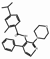 Cc1cc(C(C)C)ccc1C(=O)Nc1c(-c2ccccc2)ccnc1N1CCOCC1